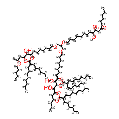 CCCCCCCCC(CCCCCC)C(=O)OC(CCCCC)C(O)CC(O)C(CCCCCCCCOCC(COCCCCCCCCC(O)C(CC(C)OCCCCC)OC(=O)C(CCCCCC)CCCCCCCC)OCCCCCCCCC(OC)C(O)CC1OC1CCCCC)OC(=O)C(CCCCCC)CCCCCCCC